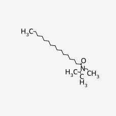 CCCCCCCCCCCCCCCC(=O)N(CC)C(C)C